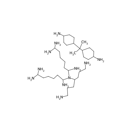 CC(C)(C1CCC(N)CC1)C1CCC(N)CC1.NCCCC(CCCN)N(C(N)CCCCC(N)N)C(N)CCCCC(N)N